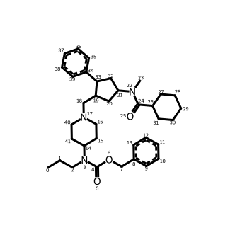 CCCN(C(=O)OCc1ccccc1)C1CCN(CC2CC(N(C)C(=O)C3CCCCC3)CC2c2ccccc2)CC1